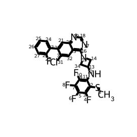 CSc1c(F)c(F)c(F)c(F)c1NC1CN(c2ncnc3cc(-c4ccccc4F)c(Cl)cc23)C1